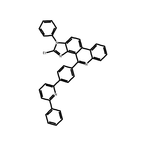 CCc1nc2c3c(-c4ccc(-c5cccc(-c6ccccc6)n5)cc4)nc4ccccc4c3ccc2n1-c1ccccc1